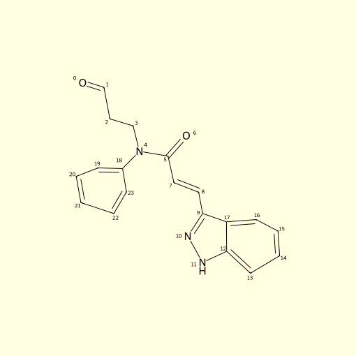 O=CCCN(C(=O)/C=C/c1n[nH]c2ccccc12)c1ccccc1